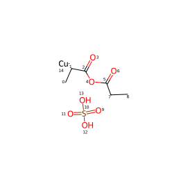 CCC(=O)OC(=O)CC.O=S(=O)(O)O.[Cu]